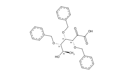 C[C@@H](O)[C@H](OCc1ccccc1)[C@H](OCc1ccccc1)[C@@H](OCc1ccccc1)C(=O)C(=O)O